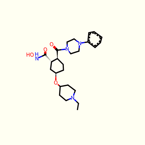 CCN1CCC(O[C@@H]2CC[C@H](C(=O)N3CCN(c4ccccc4)CC3)[C@@H](C(=O)NO)C2)CC1